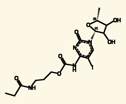 CCC(=O)NCCCOC(=O)Nc1nc(=O)n([C@@H]2O[C@H](C)C(O)C2O)cc1I